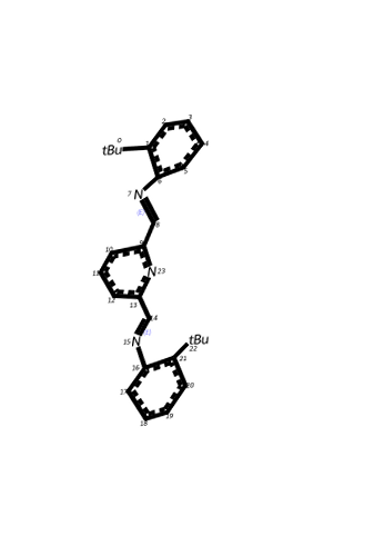 CC(C)(C)c1ccccc1/N=C/c1cccc(/C=N/c2ccccc2C(C)(C)C)n1